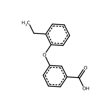 CCc1ccccc1Oc1cccc(C(=O)O)c1